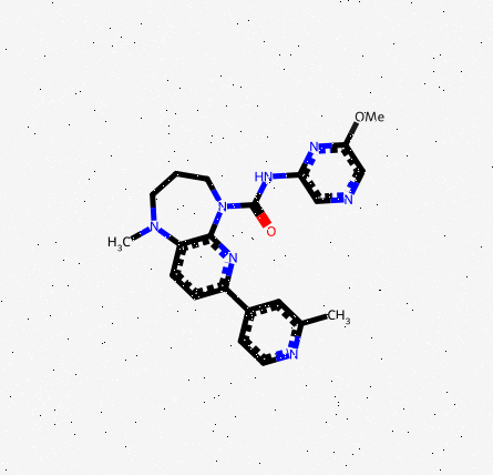 COc1cncc(NC(=O)N2CCCN(C)c3ccc(-c4ccnc(C)c4)nc32)n1